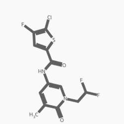 Cc1cc(NC(=O)c2cc(F)c(Cl)s2)cn(CC(F)F)c1=O